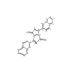 O=c1nc(-c2ccc3ccccc3c2)c2c(=O)nc(-c3ccc4ccccc4c3)c1=2